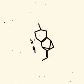 CC=C1CC2CC1C1=C2CC(C)CC1.N=C=S